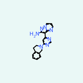 Nc1nn2cccnc2c1-c1cc(N2CCc3ccccc3C2)ncn1